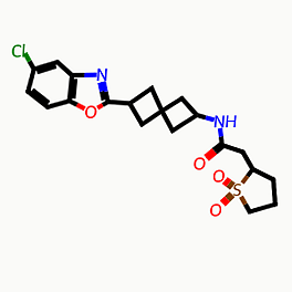 O=C(CC1CCCS1(=O)=O)NC1CC2(C1)CC(c1nc3cc(Cl)ccc3o1)C2